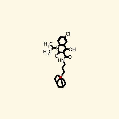 CC(C)n1c(=O)c(C(=O)NCCCN2C3CC4CC(C3)CC2C4)c(O)c2cc(Cl)ccc21